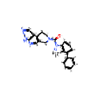 Cc1c(NC(=O)N2CCc3c(cnc4[nH]ncc34)C2)cccc1-c1ccccc1